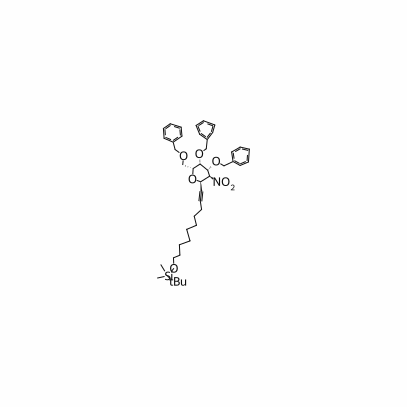 CC(C)(C)[Si](C)(C)OCCCCCCCCC#C[C@H]1O[C@H](COCc2ccccc2)[C@H](OCc2ccccc2)[C@H](OCc2ccccc2)[C@H]1[N+](=O)[O-]